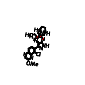 COc1cnc2ccc(-c3n[nH]c4nc(N5[C@@H]6CC[C@H]5C[C@@](C)(N)C6)c(CO)nc34)c(Cl)c2n1